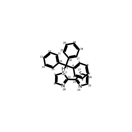 C1=C[SH](C(c2ccccc2)(c2ccccc2)c2ccccc2)C(c2nccs2)=N1